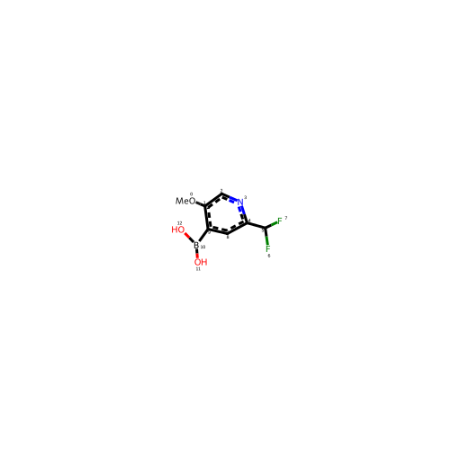 COc1cnc(C(F)F)cc1B(O)O